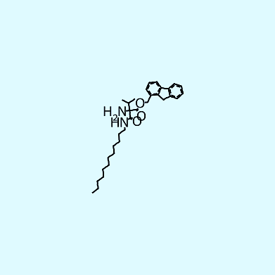 CCCCCCCCCCCCNC(=O)C(N)(C(=O)OCc1cccc2c1Cc1ccccc1-2)C(C)C